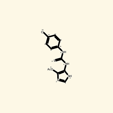 CC(=O)Oc1nc[nH]c1NC(=S)Nc1ccc(Cl)cc1